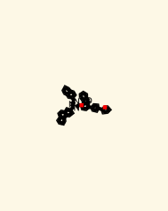 c1ccc(-c2ccc(-c3ccc(-c4nc(-c5ccc6ccccc6c5)nc(-c5ccc6c(ccc7ccccc76)c5)n4)c4c3oc3ccccc34)cc2)cc1